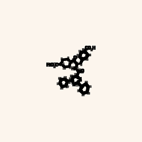 CCOC(=O)N1CCN(C(=O)[C@H](Cc2ccc(C(=O)O)cc2)NC(=O)c2cc(-c3ccccc3)nc(-c3ccccc3)n2)CC1